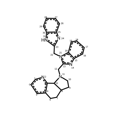 c1cnc2c(c1)CCC1CCN(Cc3nc4ccccc4n3Cc3nc4ccccc4[nH]3)C21